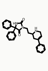 O=C1NC(c2ccccc2)(c2ccccc2)C(=O)N1CCC1CC(c2ccccc2)=CCN1